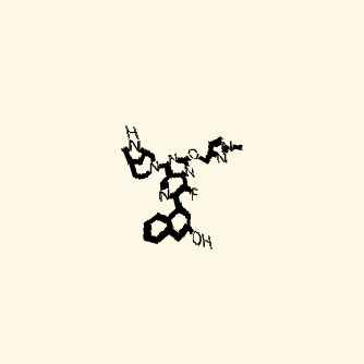 Cn1ccc(COc2nc(N3CCC4CNC(C4)C3)c3cnc(-c4cc(O)cc5ccccc45)c(F)c3n2)n1